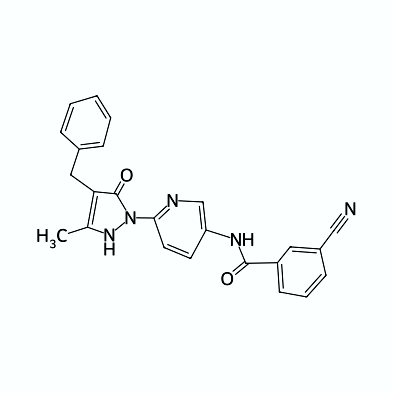 Cc1[nH]n(-c2ccc(NC(=O)c3cccc(C#N)c3)cn2)c(=O)c1Cc1ccccc1